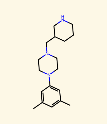 Cc1cc(C)cc(N2CCN(CC3CCCNC3)CC2)c1